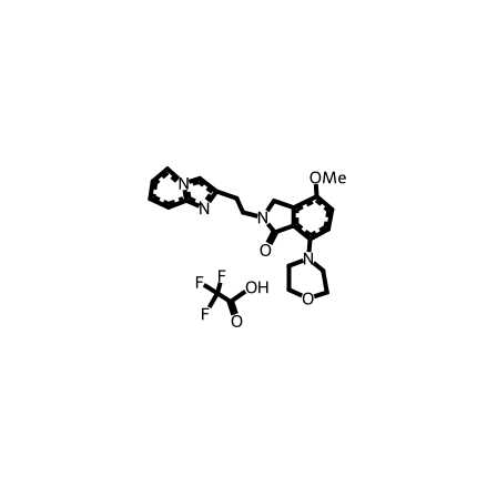 COc1ccc(N2CCOCC2)c2c1CN(CCc1cn3ccccc3n1)C2=O.O=C(O)C(F)(F)F